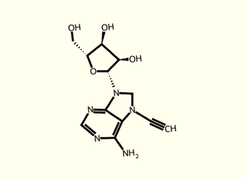 C#CN1CN([C@@H]2O[C@H](CO)[C@@H](O)[C@H]2O)c2ncnc(N)c21